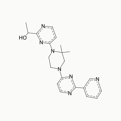 CC(O)c1nccc(N2CCN(c3ccnc(-c4cccnc4)n3)CC2(C)C)n1